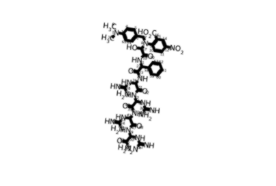 CN(C)c1ccc(CN(c2ccc([N+](=O)[O-])cc2C(=O)O)C(O)C(=O)NC(C(=O)NC(NC(=N)N)C(=O)NC(NC(=N)N)C(=O)NC(NC(=N)N)C(=O)NC(NC(=N)N)C(N)=O)c2ccccc2)cc1